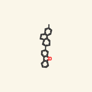 Cc1ccc2c(ccc3cc(-c4ccc5c(c4)oc4ccccc45)ccc32)c1